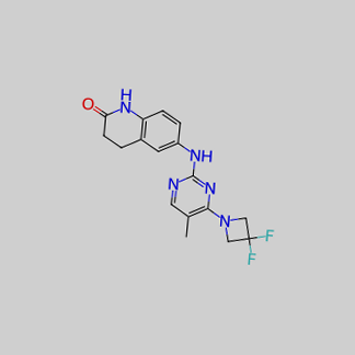 Cc1cnc(Nc2ccc3c(c2)CCC(=O)N3)nc1N1CC(F)(F)C1